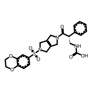 O=C(O)NC[C@H](C(=O)N1CC2=C(C1)CN(S(=O)(=O)c1ccc3c(c1)OCCO3)C2)c1ccccc1